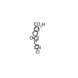 O=C(O)c1ccc2c(c1)CC[C@]1(CCN(Cc3cnc(Cl)s3)C1=O)C2